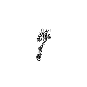 Cc1ncoc1-c1ccc([C@H](C)NC(=O)[C@@H]2C[C@@H](O)CN2C(=O)[C@@H](NC(=O)COCCOCCOCC(=O)N2CCN(c3ccn4c(n3)nc3ccccc34)CC2)C(C)(C)C)cc1